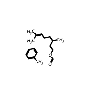 CC(C)=CCCC(C)CCOC=O.Nc1ccccc1